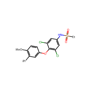 CCS(=O)(=O)Nc1cc(Cl)c(Oc2ccc(OC)c(C(C)C)c2)c(Cl)c1